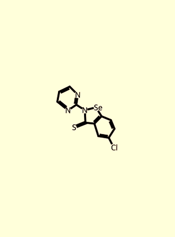 S=c1c2cc(Cl)ccc2[se]n1-c1ncccn1